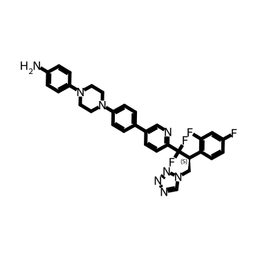 Nc1ccc(N2CCN(c3ccc(-c4ccc(C(F)(F)[C@H](Cn5cnnn5)c5ccc(F)cc5F)nc4)cc3)CC2)cc1